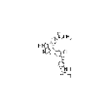 C=CC(=O)N1CCC(c2c[nH]c3ncnc(Nc4ccc(Oc5ccnc(NC(=O)C6CCC6)c5)c(Cl)c4)c23)CC1